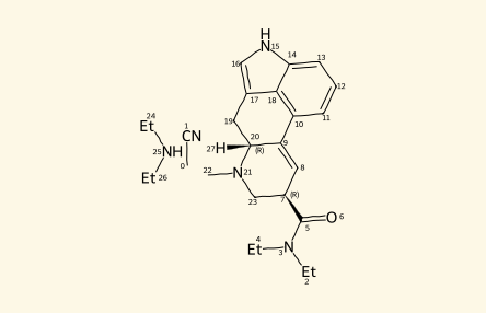 CC#N.CCN(CC)C(=O)[C@@H]1C=C2c3cccc4[nH]cc(c34)C[C@H]2N(C)C1.CCNCC